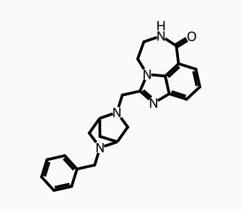 O=C1NCCn2c(CN3CC4CC3CN4Cc3ccccc3)nc3cccc1c32